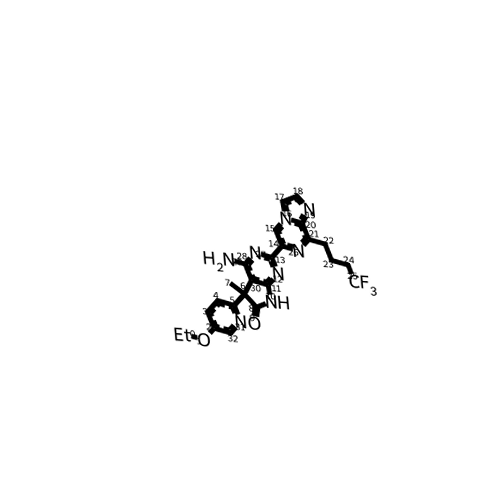 CCOc1ccc(C2(C)C(=O)Nc3nc(-c4cn5ccnc5c(CCCC(F)(F)F)n4)nc(N)c32)nc1